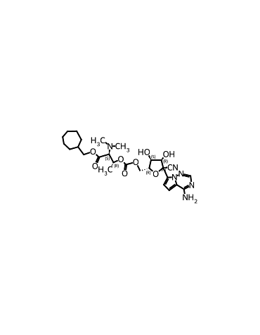 C[C@@H](OC(=O)OC[C@H]1O[C@@](C#N)(c2ccc3c(N)ncnn23)[C@H](O)[C@@H]1O)[C@@H](C(=O)OCC1CCCCCC1)N(C)C